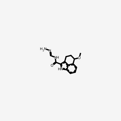 COC1CCc2c(C(=O)NC=NN)[nH]c3cccc1c23